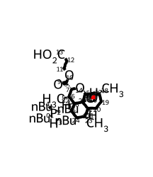 CCCC[PH](CCCC)(CCCC)CCCC.C[C@H]1[C@H](C(=O)OCCC(=O)O)O[C@@H]2O[C@]3(C)CC[C@H]4[C@H](C)CC[C@@H]1C24OO3